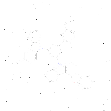 N#Cc1cccc(-c2cc(-n3c4ccccc4c4cc(C#N)ccc43)cc(-n3c4ccccc4c4c5oc6ccccc6c5ccc43)c2)c1